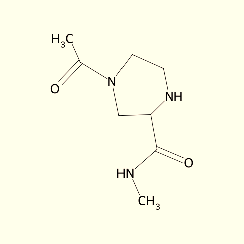 CNC(=O)C1CN(C(C)=O)CCN1